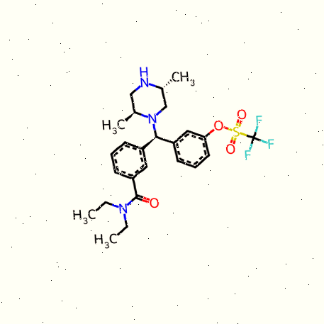 CCN(CC)C(=O)c1cccc([C@H](c2cccc(OS(=O)(=O)C(F)(F)F)c2)N2C[C@@H](C)NC[C@@H]2C)c1